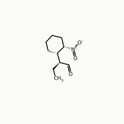 CC[C@H](C=O)[C@@H]1CCCC[C@@H]1[N+](=O)[O-]